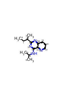 CCC(C)c1nc(NC(C)C)c2ncccc2n1